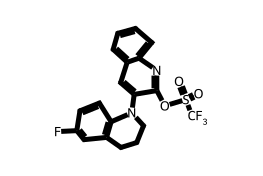 O=S(=O)(Oc1nc2ccccc2cc1N1CCCc2cc(F)ccc21)C(F)(F)F